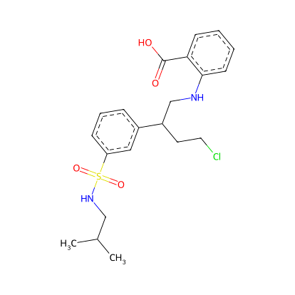 CC(C)CNS(=O)(=O)c1cccc(C(CCCl)CNc2ccccc2C(=O)O)c1